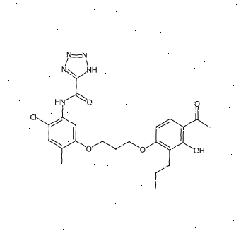 CCCc1c(OCCCOc2cc(NC(=O)c3nnn[nH]3)c(Cl)cc2C)ccc(C(C)=O)c1O